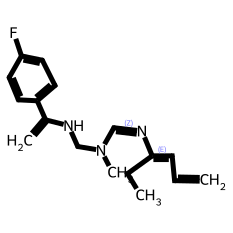 C=C/C=C(CC)/N=C\N(C)CNC(=C)c1ccc(F)cc1